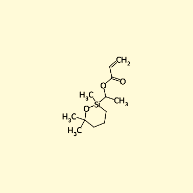 C=CC(=O)OC(C)[Si]1(C)CCCC(C)(C)O1